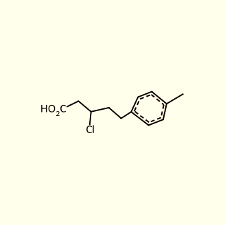 Cc1ccc(CCC(Cl)CC(=O)O)cc1